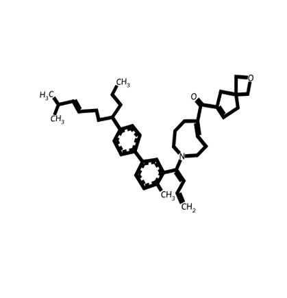 C=C/C=C(\c1cc(-c2ccc(C(CCC)CC/C=C/C(C)C)cc2)ccc1C)N1CC/C=C(\C(=O)C2=CCC3(COC3)C2)CCC1